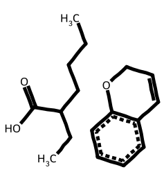 C1=Cc2ccccc2OC1.CCCCC(CC)C(=O)O